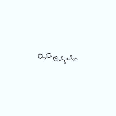 CCOC(=O)COC(=O)NCC12CCC(c3cccc(Oc4ccccc4)c3)(CC1)OC2